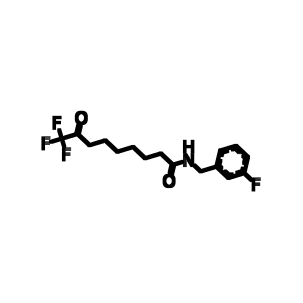 O=C(CCCCCCC(=O)C(F)(F)F)NCc1cccc(F)c1